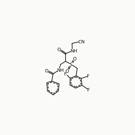 N#CCNC(=O)C(CNC(=O)c1ccccc1)S(=O)(=O)Cc1c(F)ccc(F)c1F